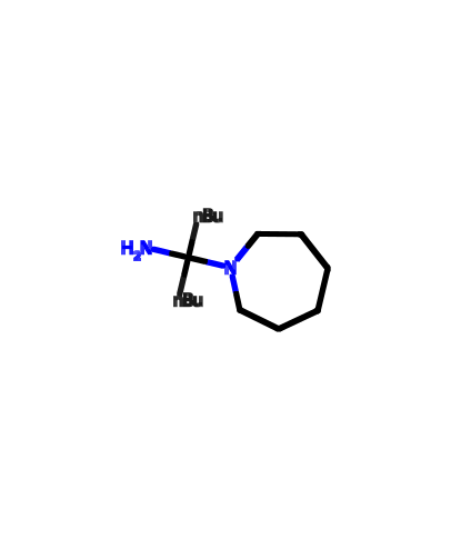 CCCCC(N)(CCCC)N1CCCCCC1